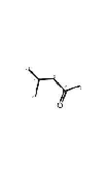 [CH2]C(C)CC(C)=O